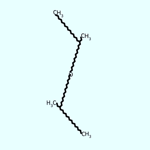 CCCCCCCCCCCCCCCCC(CCC)CCCCCCCCCCCCCCOCCCCCCCCCCCCCCC(CCC)CCCCCCCCCCCCCCCC